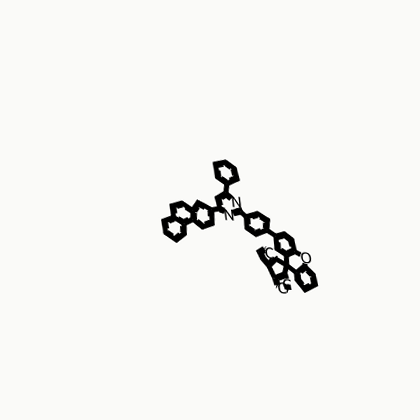 c1ccc(-c2cc(-c3ccc4c(ccc5ccccc54)c3)nc(-c3ccc(-c4ccc5c(c4)C4(c6ccccc6O5)c5ccccc5-c5ccccc54)cc3)n2)cc1